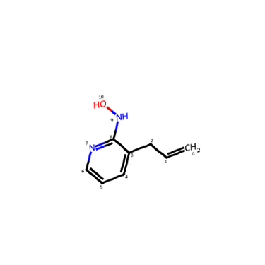 C=CCc1cccnc1NO